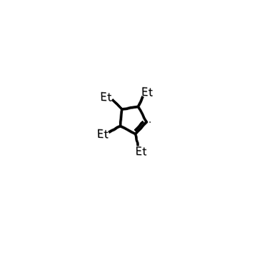 CCC1=[C]C(CC)C(CC)C1CC